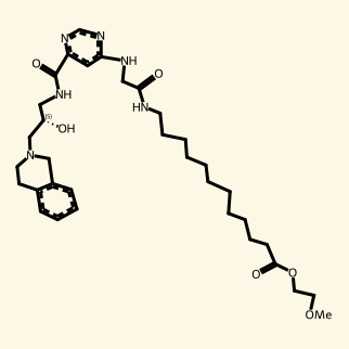 COCCOC(=O)CCCCCCCCCCCNC(=O)CNc1cc(C(=O)NC[C@H](O)CN2CCc3ccccc3C2)ncn1